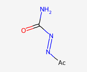 CC(=O)/N=N/C(N)=O